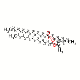 CCCCCCCCCCCCCCCC(=O)OC(C)C.CCCCCCCCCCCCCCCC(=O)OCCCCCCCC